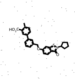 Cc1ccc(-c2cccc(COc3ccc4c(=O)n(C5CCCC5)sc4c3)c2)cc1C(=O)O